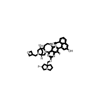 C#Cc1cccc2cc(O)cc(-c3nc4c5c(nc(OC[C@@]67CCCN6C[C@H](F)C7)nc5c3F)N3C[C@H]5CC[C@H](CN5CC5COC5)[C@H]3CCO4)c12